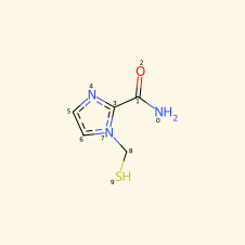 NC(=O)c1nccn1CS